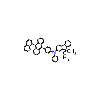 CC1(C)c2ccccc2-c2ccc(N(c3ccccc3)c3ccc(-c4c5ccccc5c(-c5cccc6ccccc56)c5ccccc45)cc3)cc21